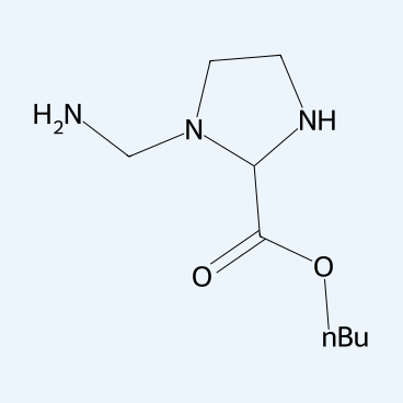 CCCCOC(=O)C1NCCN1CN